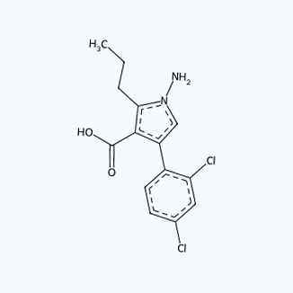 CCCc1c(C(=O)O)c(-c2ccc(Cl)cc2Cl)cn1N